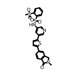 CN1Cc2cc(-c3ccc(-c4cncc(NS(=O)(=O)c5ccccc5S(C)(=O)=O)c4)s3)ccc2C1=O